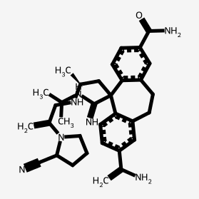 C=C(N)c1ccc2c(c1)CCc1cc(C(N)=O)ccc1C2(C[C@H](C)NCC(=C)N1CCCC1C#N)C(=N)NC(C)C